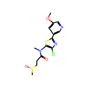 COc1cncc(-c2nc(Cl)c(N(C)C(=O)CC[S+](C)[O-])s2)c1